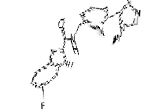 CC(C)n1cnnc1-c1cccc(NC(=O)c2cc3ccc(F)cc3[nH]2)n1